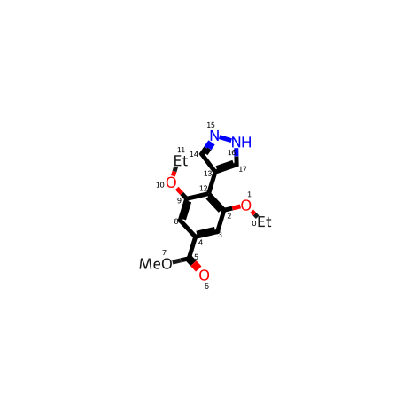 CCOc1cc(C(=O)OC)cc(OCC)c1-c1cn[nH]c1